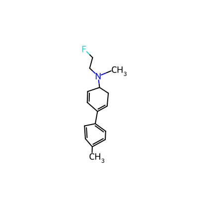 Cc1ccc(C2=CCC(N(C)CCF)C=C2)cc1